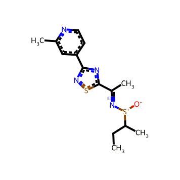 CCC(C)[S+]([O-])/N=C(\C)c1nc(-c2ccnc(C)c2)ns1